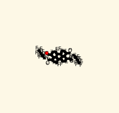 O=C1c2cc(F)c3c4c(F)cc5c6c(cc(F)c(c7c(F)cc(c2c37)C(=O)N1CC(F)(F)C(F)(F)C(F)(F)F)c64)C(=O)N(CC(F)(F)C(F)(F)C(F)(F)F)C5=O